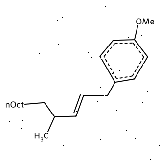 CCCCCCCCCC(C)/C=C/Cc1ccc(OC)cc1